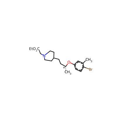 CCOC(=O)CN1CCC(CC[C@@H](C)Oc2ccc(Br)c(C)c2)CC1